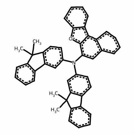 CC1(C)c2ccccc2-c2cc(N(c3ccc4c(c3)C(C)(C)c3ccccc3-4)c3cc4ccccc4c4c3oc3ccccc34)ccc21